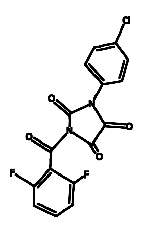 O=C1C(=O)N(c2ccc(Cl)cc2)C(=O)N1C(=O)c1c(F)cccc1F